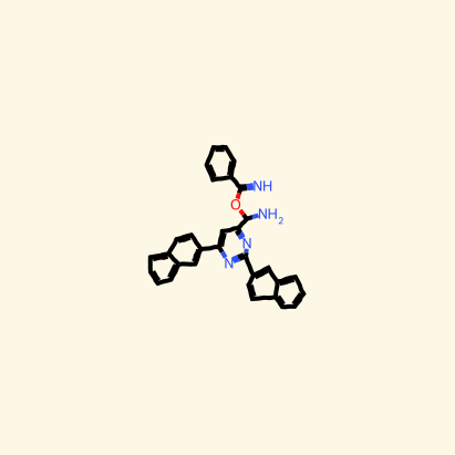 N=C(OC(N)c1cc(-c2ccc3ccccc3c2)nc(-c2ccc3ccccc3c2)n1)c1ccccc1